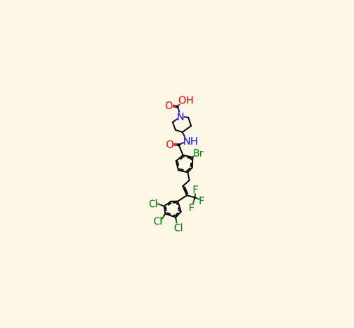 O=C(NC1CCN(C(=O)O)CC1)c1ccc(CC=C(c2cc(Cl)c(Cl)c(Cl)c2)C(F)(F)F)cc1Br